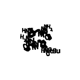 CC(C)(C)OC(=O)NCc1ccc(Cn2nnc3c(-c4ccco4)nc(N)nc32)cc1.Nc1nc(-c2ccco2)c2nnn(Cc3cccc4[nH]ccc34)c2n1